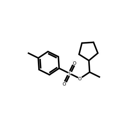 Cc1ccc(S(=O)(=O)OC(C)C2CCCC2)cc1